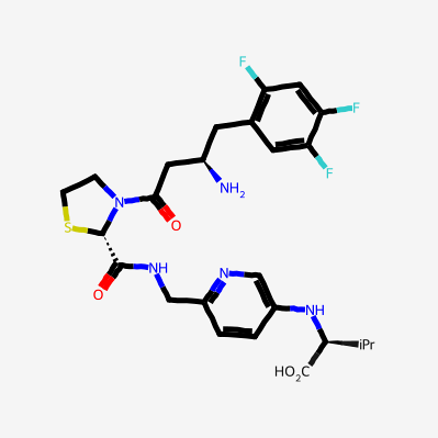 CC(C)[C@H](Nc1ccc(CNC(=O)[C@@H]2SCCN2C(=O)C[C@H](N)Cc2cc(F)c(F)cc2F)nc1)C(=O)O